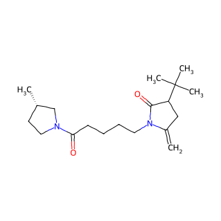 C=C1CC(C(C)(C)C)C(=O)N1CCCCC(=O)N1CC[C@H](C)C1